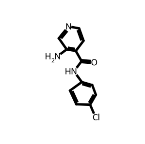 Nc1cnccc1C(=O)Nc1ccc(Cl)cc1